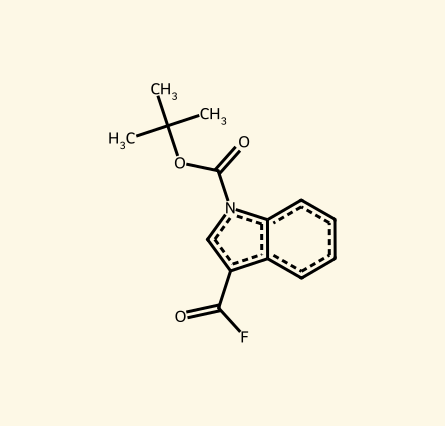 CC(C)(C)OC(=O)n1cc(C(=O)F)c2ccccc21